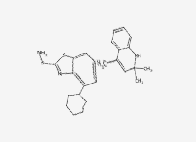 CC1=CC(C)(C)Nc2ccccc21.NSc1nc2c(C3CCCCC3)cccc2s1